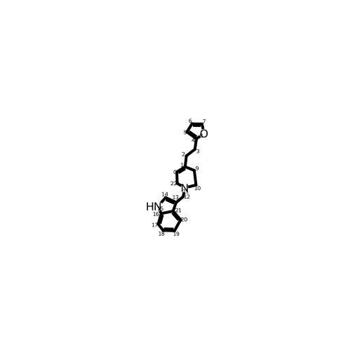 C1=C(CCc2ccco2)CCN(Cc2c[nH]c3ccccc23)C1